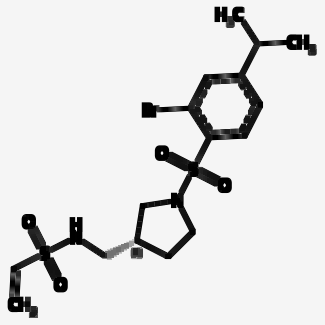 C=CS(=O)(=O)NC[C@H]1CCN(S(=O)(=O)c2ccc(C(C)C)cc2Br)C1